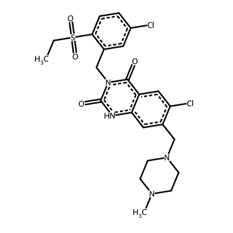 CCS(=O)(=O)c1ccc(Cl)cc1Cn1c(=O)[nH]c2cc(CN3CCN(C)CC3)c(Cl)cc2c1=O